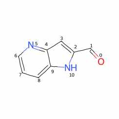 O=[C]c1cc2ncccc2[nH]1